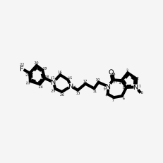 Cn1ccc2c1CCCN(CCCCN1CCN(c3ccc(F)cc3)CC1)C2=O